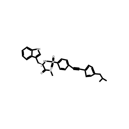 COC(=O)[C@@H](Cc1c[nH]c2ccccc12)NS(=O)(=O)c1ccc(C#Cc2ccc(CC(C)C)cc2)cc1